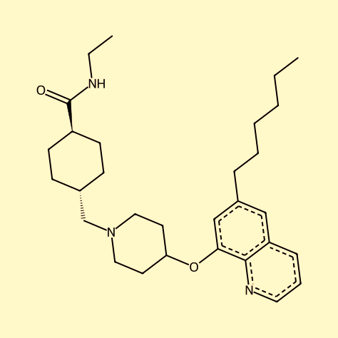 CCCCCCc1cc(OC2CCN(C[C@H]3CC[C@H](C(=O)NCC)CC3)CC2)c2ncccc2c1